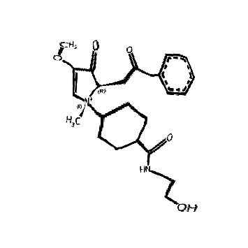 COC1=C[N@@+](C)(C2CCC(C(=O)NCCO)CC2)[C@H](CC(=O)c2ccccc2)C1=O